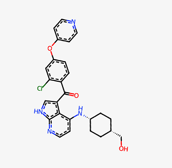 O=C(c1ccc(Oc2ccncc2)cc1Cl)c1c[nH]c2nccc(N[C@H]3CC[C@@H](CO)CC3)c12